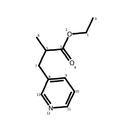 CCOC(=O)C(C)Cc1cccnc1